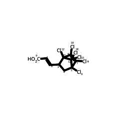 O=C(O)C=CC1CC2(Cl)C(Cl)=C(Cl)C1(Cl)C2(Cl)Cl